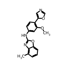 COc1cc(Nc2nc3c(C)cccc3o2)ccc1-c1cnco1